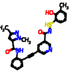 Cc1cc(C(=O)Nc2ccccc2C#Cc2cncc(C(=O)N=[SH]c3cccc(C)c3O)c2)n(C)n1